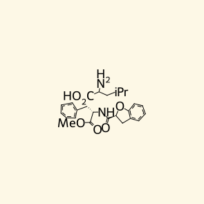 CC(C)CC(N)C(=O)O.COC(=O)[C@H](Cc1ccccc1)NC(=O)[C@@H]1Cc2ccccc2O1